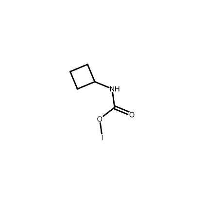 O=C(NC1CCC1)OI